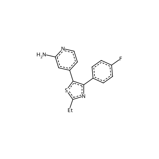 CCc1nc(-c2ccc(F)cc2)c(-c2ccnc(N)c2)s1